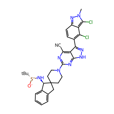 Cn1nc2ccc(-c3n[nH]c4nc(N5CCC6(CC5)Cc5ccccc5[C@H]6N[S@+]([O-])C(C)(C)C)nc(C#N)c34)c(Cl)c2c1Cl